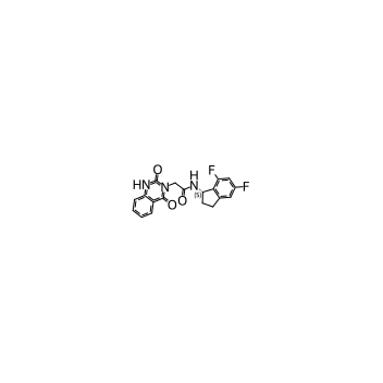 O=C(Cn1c(=O)[nH]c2ccccc2c1=O)N[C@H]1CCc2cc(F)cc(F)c21